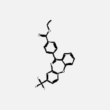 CCOC(=O)c1ccc(C2=Nc3cc(C(F)(F)F)ccc3Oc3ccccc32)cc1